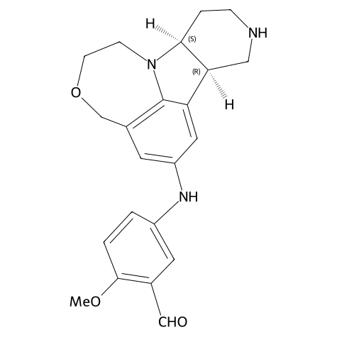 COc1ccc(Nc2cc3c4c(c2)[C@@H]2CNCC[C@@H]2N4CCOC3)cc1C=O